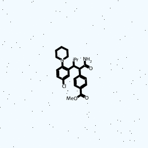 COC(=O)c1ccc(C(C(N)=O)C(c2cc(Cl)ccc2N2CCCCC2)C(C)C)cc1